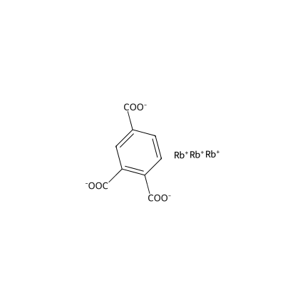 O=C([O-])c1ccc(C(=O)[O-])c(C(=O)[O-])c1.[Rb+].[Rb+].[Rb+]